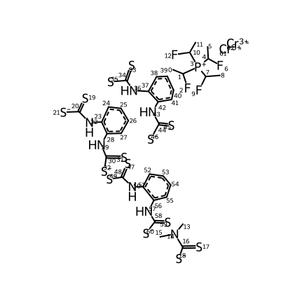 CC(F)[P+](C(C)F)(C(C)F)C(C)F.CN(C)C(=S)[S-].S=C([S-])Nc1ccccc1NC(=S)[S-].S=C([S-])Nc1ccccc1NC(=S)[S-].S=C([S-])Nc1ccccc1NC(=S)[S-].[Cr+3].[Cr+3]